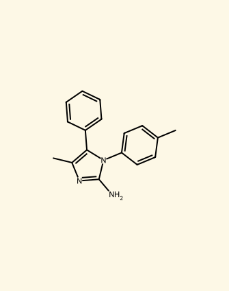 Cc1ccc(-n2c(N)nc(C)c2-c2ccccc2)cc1